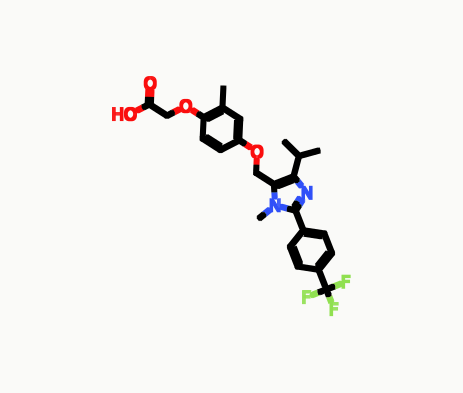 Cc1cc(OCc2c(C(C)C)nc(-c3ccc(C(F)(F)F)cc3)n2C)ccc1OCC(=O)O